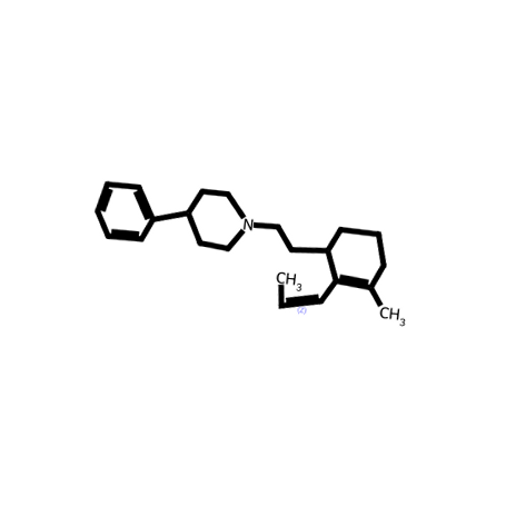 C/C=C\C1=C(C)CCCC1CCN1CCC(c2ccccc2)CC1